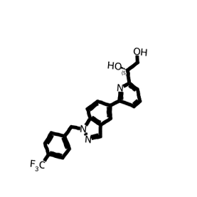 OC[C@@H](O)c1cccc(-c2ccc3c(cnn3Cc3ccc(C(F)(F)F)cc3)c2)n1